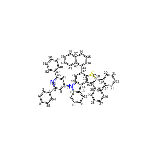 c1ccc(-c2cc(-n3c4ccccc4c4c5c(sc6c7ccccc7c7ccccc7c65)c(-c5cccc6ccccc56)cc43)cc(-c3ccccc3)n2)cc1